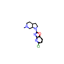 CN1CCC2CCN(c3nc4nc(Cl)ccc4o3)C2C1